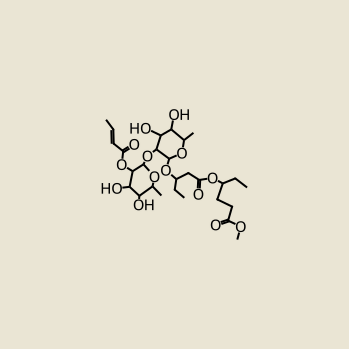 CC=CC(=O)OC1C(OC2C(OC(CC)CC(=O)OC(CC)CCC(=O)OC)OC(C)C(O)C2O)OC(C)C(O)C1O